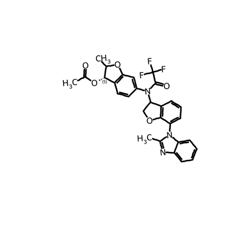 CC(=O)O[C@H]1c2ccc(N(C(=O)C(F)(F)F)C3COc4c3cccc4-n3c(C)nc4ccccc43)cc2OC1C